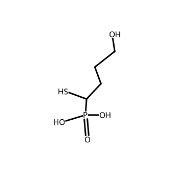 O=P(O)(O)C(S)CCCO